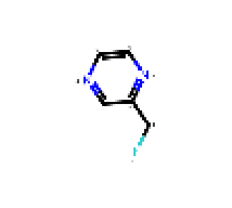 FCc1cn[c]cn1